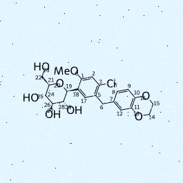 COc1cc(Cl)c(Cc2ccc3c(c2)OCCO3)cc1[C@@H]1O[C@H](CO)[C@@H](O)[C@H](O)[C@H]1O